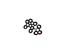 c1ccc(-c2ccccc2N(c2ccccc2)c2cc3c(c4ccccc24)-c2c(c4ccccc4c4ccccc24)C32c3ccccc3-c3ccccc32)cc1